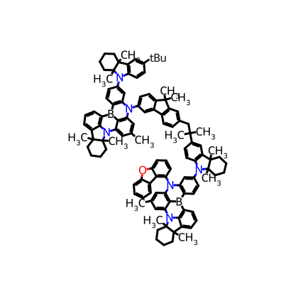 Cc1cc2c3c(c1)N1c4c(cccc4C4(C)CCCCC14C)B3c1ccc(N3c4ccc(C(C)(C)C)cc4C4(C)CCCCC34C)cc1N2c1ccc2c(c1)-c1ccc(CC(C)(C)c3ccc4c(c3)C3(C)CCCCC3(C)N4c3ccc4c(c3)N(c3cccc5oc6ccccc6c35)c3cc(C)cc5c3B4c3cccc4c3N5C3(C)CCCCC43C)cc1C2(C)C